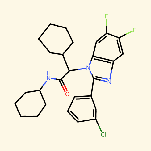 O=C(NC1CCCCC1)C(C1CCCCC1)n1c(-c2cccc(Cl)c2)nc2cc(F)c(F)cc21